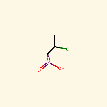 CC(Cl)C[PH](=O)O